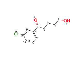 O=C(CCCCO)c1cccc(Cl)c1